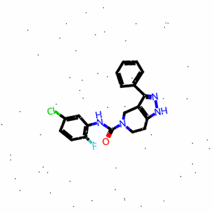 O=C(Nc1cc(Cl)ccc1F)N1CCc2[nH]nc(-c3ccccc3)c2C1